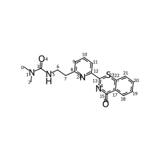 CN(C)C(=O)NCCc1cccc(-c2nc(=O)c3ccccc3s2)n1